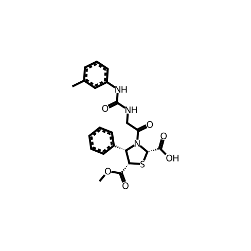 COC(=O)[C@H]1S[C@@H](C(=O)O)N(C(=O)CNC(=O)Nc2cccc(C)c2)[C@H]1c1ccccc1